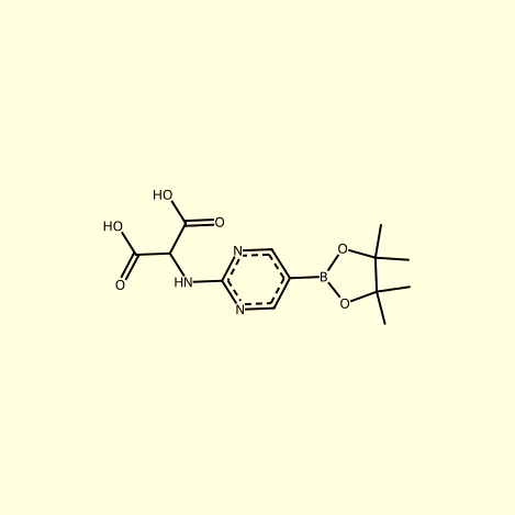 CC1(C)OB(c2cnc(NC(C(=O)O)C(=O)O)nc2)OC1(C)C